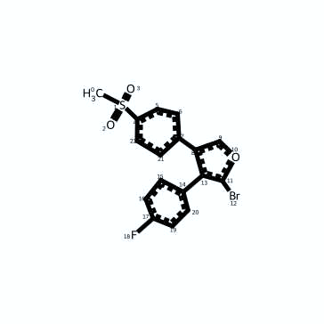 CS(=O)(=O)c1ccc(-c2coc(Br)c2-c2ccc(F)cc2)cc1